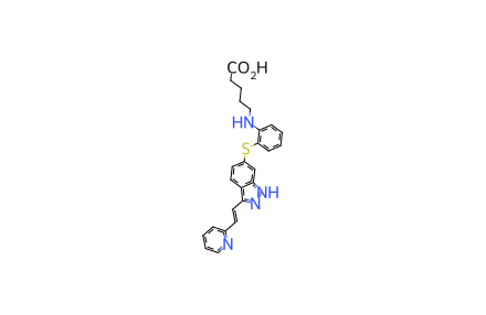 O=C(O)CCCCNc1ccccc1Sc1ccc2c(C=Cc3ccccn3)n[nH]c2c1